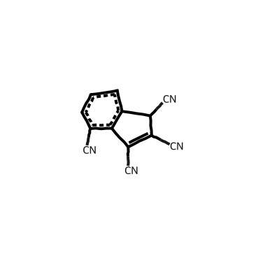 N#CC1=C(C#N)C(C#N)c2cccc(C#N)c21